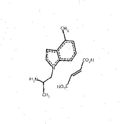 Cc1cccc2c1ccn2CC(C)N.O=C(O)C=CC(=O)O